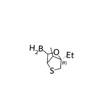 BC1O[C@@]2(CC)CSC1C2C